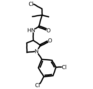 CC(C)(CCl)C(=O)NC1CCN(c2cc(Cl)cc(Cl)c2)C1=O